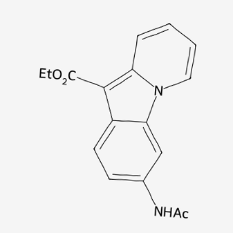 CCOC(=O)c1c2ccc(NC(C)=O)cc2n2ccccc12